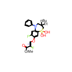 CCCCC1(CC)CN(c2ccccc2)c2cc(F)c(O/C=C(\F)C(=O)OC)cc2S(O)(O)C1